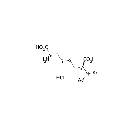 CC(=O)N(C(C)=O)[C@@H](CSSC[C@H](N)C(=O)O)C(=O)O.Cl